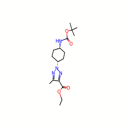 CCOC(=O)c1nn([C@H]2CC[C@H](NC(=O)OC(C)(C)C)CC2)nc1C